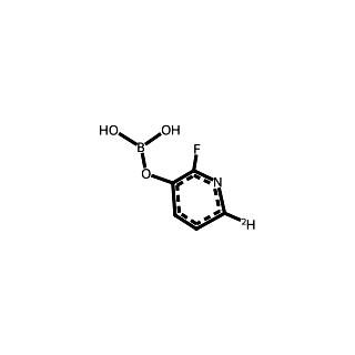 [2H]c1ccc(OB(O)O)c(F)n1